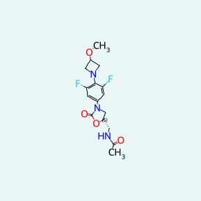 COC1CN(c2c(F)cc(N3C[C@H](CNC(C)=O)OC3=O)cc2F)C1